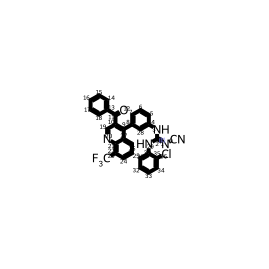 N#C/N=C(\Nc1cccc(-c2c(C(=O)c3ccccc3)cnc3c(C(F)(F)F)cccc23)c1)Nc1ccccc1Cl